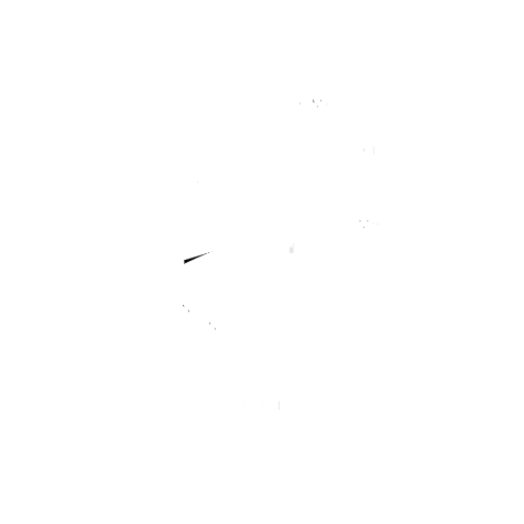 COc1cc([C@@H](O)[C@H](Cn2cc3cccc(C(=O)O)c3n2)OC(C)C)cc(OC)c1C